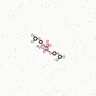 CCOC(=O)N(CCOc1ccc(Oc2cc(Cl)cc(Cl)c2)cc1)SN(CCOc1ccc(Oc2cc(Cl)cc(Cl)c2)cc1)C(=O)O